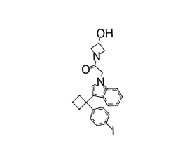 O=C(Cn1cc(C2(c3ccc(I)cc3)CCC2)c2ccccc21)N1CC(O)C1